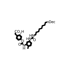 CCCCCCCCCCCCCCCCCCNC(=O)Nc1ccc(C)c(NC(=O)Oc2ccc(CC(=O)O)cc2)c1